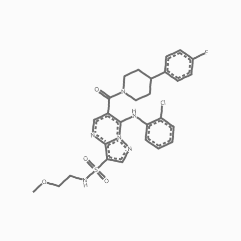 COCCNS(=O)(=O)c1cnn2c(Nc3ccccc3Cl)c(C(=O)N3CCC(c4ccc(F)cc4)CC3)cnc12